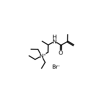 C=C(C)C(=O)NC(C)C[N+](CC)(CC)CC.[Br-]